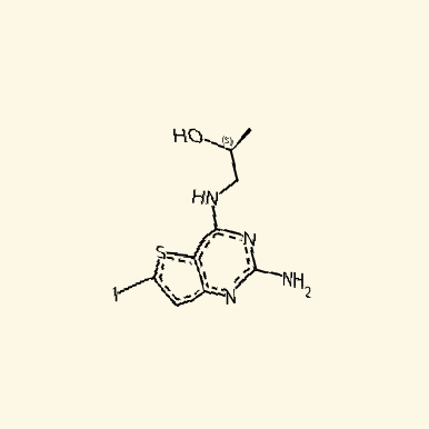 C[C@H](O)CNc1nc(N)nc2cc(I)sc12